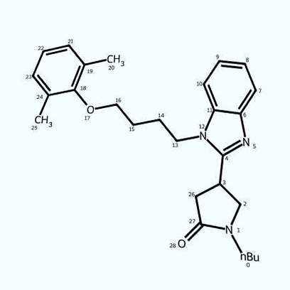 CCCCN1CC(c2nc3ccccc3n2CCCCOc2c(C)cccc2C)CC1=O